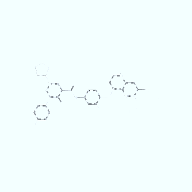 COc1cc2nccc(Oc3ccc(NC(=O)c4cn(C5CCCC5)cc(-c5ccc(F)cc5)c4=O)cc3F)c2nc1OC